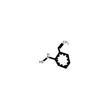 C=Cc1ccccc1NS